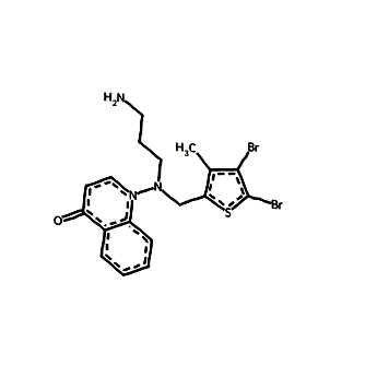 Cc1c(CN(CCCN)n2ccc(=O)c3ccccc32)sc(Br)c1Br